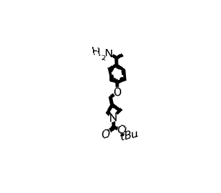 CC(N)c1ccc(OCC2CN(C(=O)OC(C)(C)C)C2)cc1